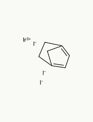 C1=C2CCC(=C1)C2.[I-].[I-].[I-].[Ir+3]